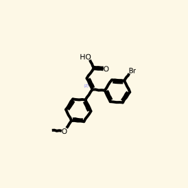 COc1ccc(/C(=C/C(=O)O)c2cccc(Br)c2)cc1